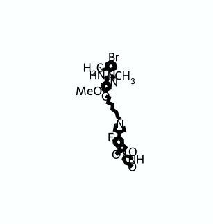 COc1cc2c(N[C@H](C)c3cccc(Br)c3)nc(C)nc2cc1OCCCCCCCN1CCC(c2cc3c(cc2F)C(=O)N(C2CCC(=O)NC2=O)C3)CC1